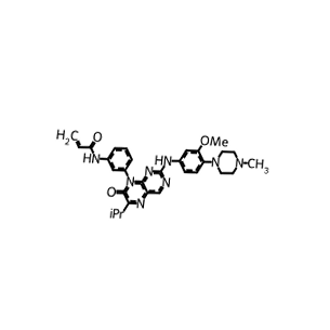 C=CC(=O)Nc1cccc(-n2c(=O)c(C(C)C)nc3cnc(Nc4ccc(N5CCN(C)CC5)c(OC)c4)nc32)c1